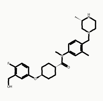 Cc1cc(N(C)C(=O)[C@H]2CC[C@H](Oc3ccc(F)c(CO)c3)CC2)ccc1CN1CCN[C@@H](C)C1